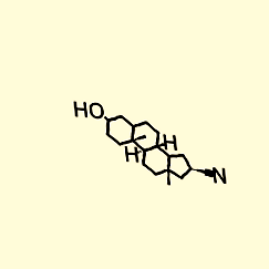 C[C@@]12CC[C@@H]3[C@H](CCC4CC(O)CC[C@]43C)C1C[C@@H](C#N)C2